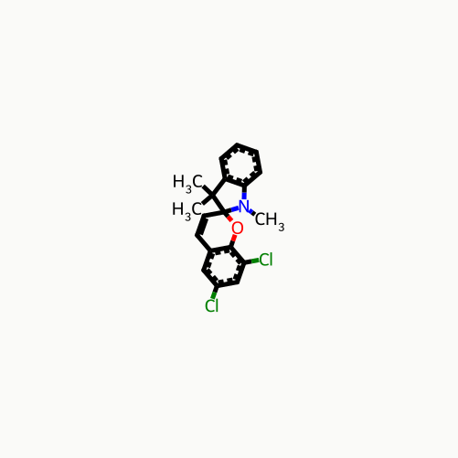 CN1c2ccccc2C(C)(C)C12C=Cc1cc(Cl)cc(Cl)c1O2